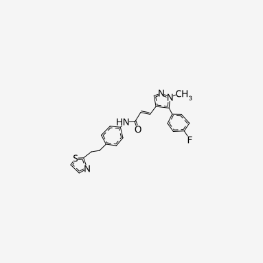 Cn1ncc(C=CC(=O)Nc2ccc(CCc3nccs3)cc2)c1-c1ccc(F)cc1